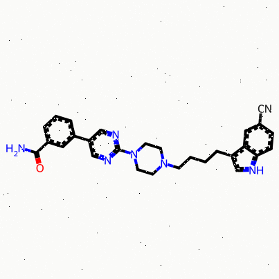 N#Cc1ccc2[nH]cc(CCCCN3CCN(c4ncc(-c5cccc(C(N)=O)c5)cn4)CC3)c2c1